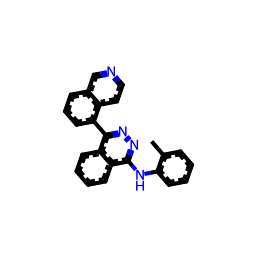 Cc1ccccc1Nc1nnc(-c2cccc3cnccc23)c2ccccc12